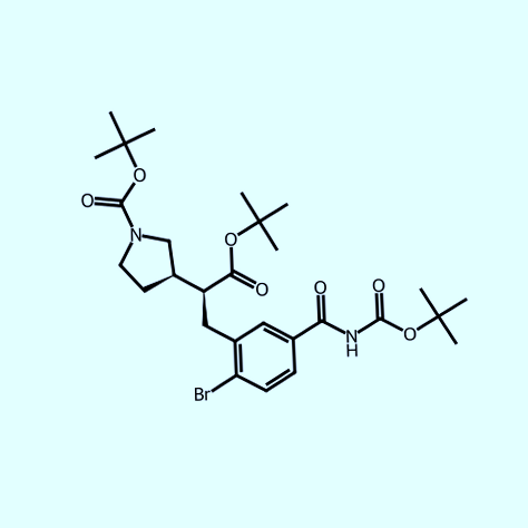 CC(C)(C)OC(=O)NC(=O)c1ccc(Br)c(C[C@H](C(=O)OC(C)(C)C)[C@H]2CCN(C(=O)OC(C)(C)C)C2)c1